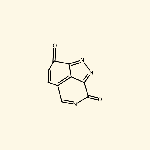 O=C1C=CC2=C3C1=NN=C3C(=O)N=C2